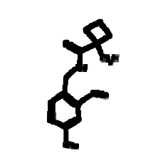 COc1ccc(CNC(=O)C2(C(=O)O)CCC2)c(OC)c1